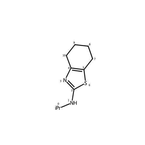 CC(C)Nc1nc2c(s1)CCCC2